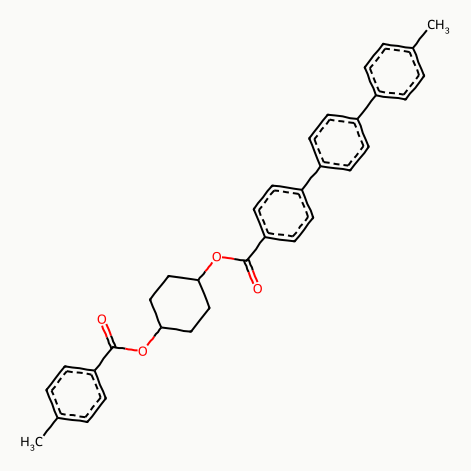 Cc1ccc(C(=O)OC2CCC(OC(=O)c3ccc(-c4ccc(-c5ccc(C)cc5)cc4)cc3)CC2)cc1